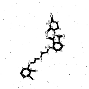 Cc1cccc(OCCOCCNc2cccc3c2C(=O)N(C2CCC(=O)NC2=O)C3=O)c1I